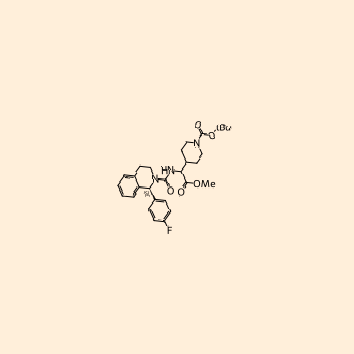 COC(=O)C(NC(=O)N1CCc2ccccc2[C@@H]1c1ccc(F)cc1)C1CCN(C(=O)OC(C)(C)C)CC1